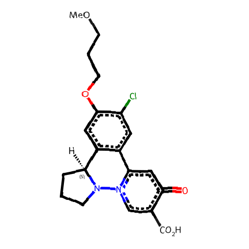 COCCCOc1cc2c(cc1Cl)-c1cc(=O)c(C(=O)O)cn1N1CCC[C@@H]21